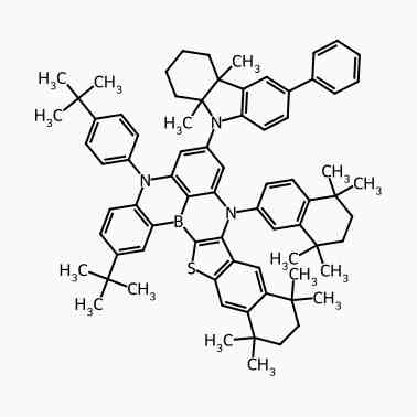 CC(C)(C)c1ccc(N2c3ccc(C(C)(C)C)cc3B3c4sc5cc6c(cc5c4N(c4ccc5c(c4)C(C)(C)CCC5(C)C)c4cc(N5c7ccc(-c8ccccc8)cc7C7(C)CCCCC57C)cc2c43)C(C)(C)CCC6(C)C)cc1